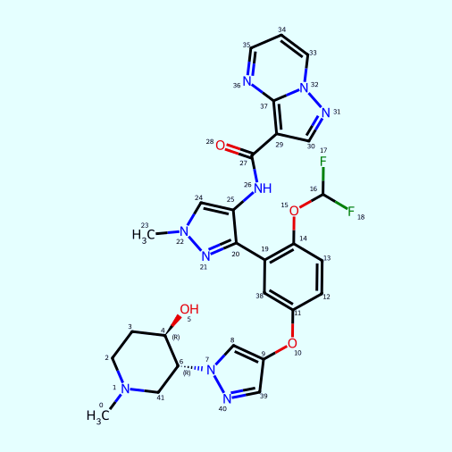 CN1CC[C@@H](O)[C@H](n2cc(Oc3ccc(OC(F)F)c(-c4nn(C)cc4NC(=O)c4cnn5cccnc45)c3)cn2)C1